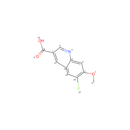 COc1cc2ncc(C(=O)O)cc2cc1F